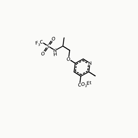 CCOC(=O)c1cc(OCC(C)NS(=O)(=O)C(F)(F)F)cnc1C